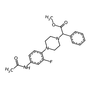 COC(=O)C(c1ccccc1)N1CCN(c2ccc(NC(C)=O)cc2F)CC1